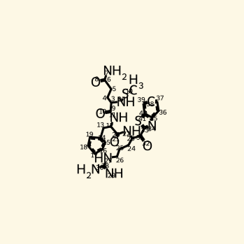 CSNC(CCC(N)=O)C(=O)NC(Cc1ccccc1)C(=O)NC(CCCNC(=N)N)C(=O)c1nc2ccccc2s1